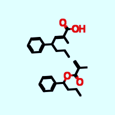 C=C(C)C(=O)OC(CCC)c1ccccc1.CCCC(C=C(C)C(=O)O)c1ccccc1